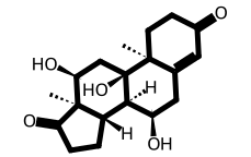 C[C@@]12C(=O)CC[C@H]1[C@@H]1[C@H](O)CC3=CC(=O)CC[C@]3(C)[C@@]1(O)C[C@@H]2O